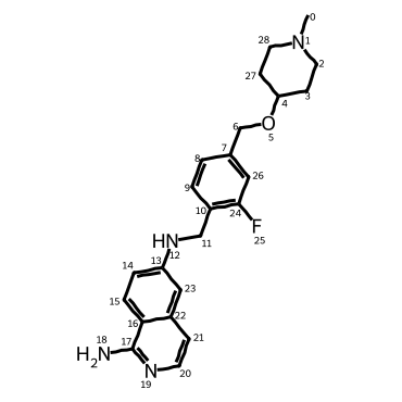 CN1CCC(OCc2ccc(CNc3ccc4c(N)nccc4c3)c(F)c2)CC1